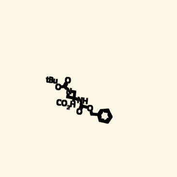 CC(C)(C)OC(=O)N1CC(NC(=O)OCc2ccccc2)(C(=O)O)C1